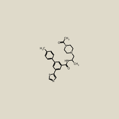 CC(=O)N1CCN(CC(C)NC(=O)c2cc(-c3ccc(C)cc3)cc(-c3cncs3)c2)CC1